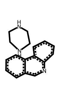 C1CNCCN1.c1ccc2c(c1)cnc1ccccc12